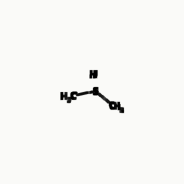 CSC.I